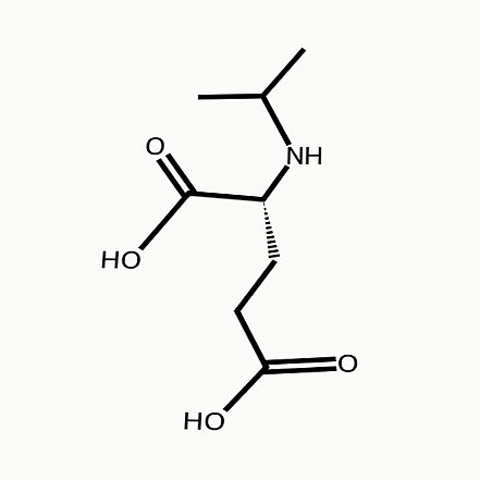 CC(C)N[C@H](CCC(=O)O)C(=O)O